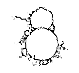 CC(C)C[C@@H]1NC(=O)[C@@H]2CCCN2C(=O)[C@@H]2CSCc3cc(cc(c3)OCCCCCCO/N=C/C(=O)N[C@@H](CCCCN)C(=O)N2)CSC[C@@H](C(N)=O)NC(=O)[C@H](C)NC(=O)[C@@H]2CCCN2C(=O)[C@H](C)NC(=O)[C@H](CC(=O)O)NC1=O